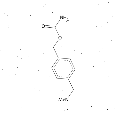 CNCc1ccc(COC(N)=O)cc1